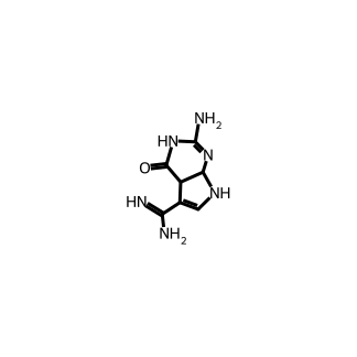 N=C(N)C1=CNC2N=C(N)NC(=O)C12